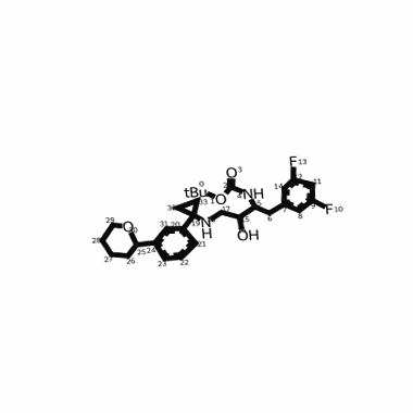 CC(C)(C)OC(=O)NC(Cc1cc(F)cc(F)c1)C(O)CNC1(c2cccc(C3CCCCO3)c2)CC1